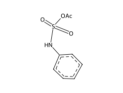 CC(=O)OS(=O)(=O)Nc1ccccc1